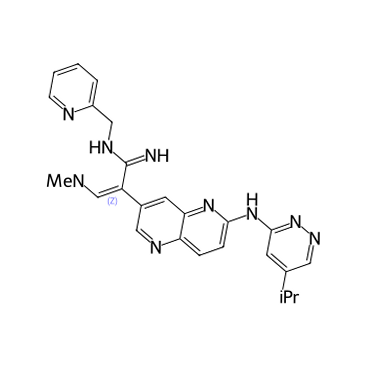 CN/C=C(\C(=N)NCc1ccccn1)c1cnc2ccc(Nc3cc(C(C)C)cnn3)nc2c1